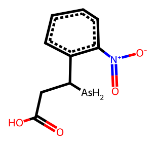 O=C(O)CC([AsH2])c1ccccc1[N+](=O)[O-]